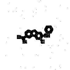 CCN(CC)c1ccc2c(c1)-c1cc(Cl)c(Nc3ccccc3)cc1C2